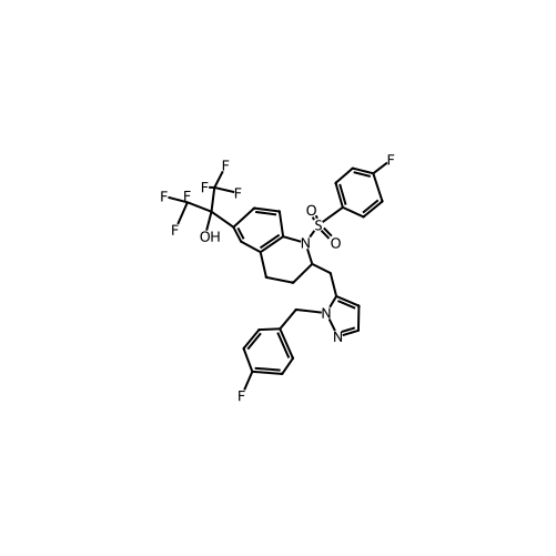 O=S(=O)(c1ccc(F)cc1)N1c2ccc(C(O)(C(F)(F)F)C(F)(F)F)cc2CCC1Cc1ccnn1Cc1ccc(F)cc1